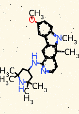 COc1ccc2c(c1)c1cc3c(NC4CC(C)(C)NC(C)(C)C4)nccc3c(C)c1n2C